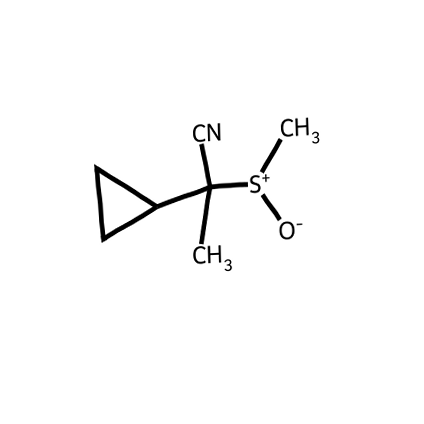 C[S+]([O-])C(C)(C#N)C1CC1